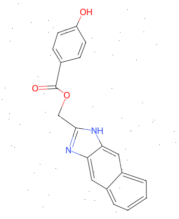 O=C(OCc1nc2cc3ccccc3cc2[nH]1)c1ccc(O)cc1